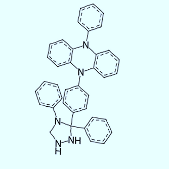 c1ccc(N2c3ccccc3N(c3ccc(C4(c5ccccc5)NNCN4c4ccccc4)cc3)c3ccccc32)cc1